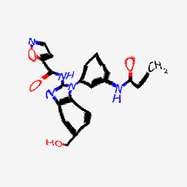 C=CC(=O)Nc1cccc(-n2c(NC(=O)c3ccno3)nc3cc(CO)ccc32)c1